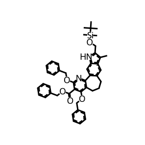 Cc1c(CO[Si](C)(C)C(C)(C)C)[nH]c2cc3c(cc12)CCCc1c-3nc(OCc2ccccc2)c(C(=O)OCc2ccccc2)c1OCc1ccccc1